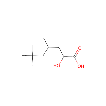 CC(CC(O)C(=O)O)CC(C)(C)C